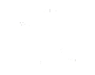 C=C(/C=C(\C=C/C)C(=O)OC)SC(C)(C)C